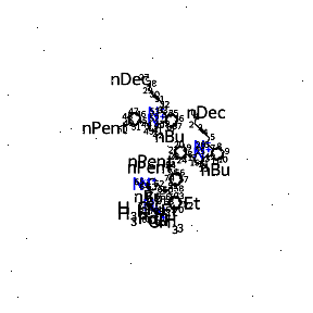 CCCCCCCCCCCCC#CCCc1ccccc1C1=C(CCCC)C=C(c2cccc(CCCCC)c2)[N+]1=[N-].CCCCCCCCCCCCC#CCCc1ccccc1C1=C(CCCC)C=C(c2cccc(CCCCC)c2)[N+]1=[N-].CCCCCc1cccc(C(=C(C=C=[N+]=[N-])CCCC)c2cccc(CC)c2)c1.CC[N](C)[Ni][N](C)CC.[CH3][Pd][CH3]